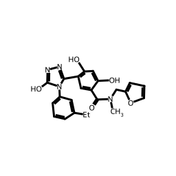 CCc1cccc(-n2c(O)nnc2-c2cc(C(=O)N(C)Cc3ccco3)c(O)cc2O)c1